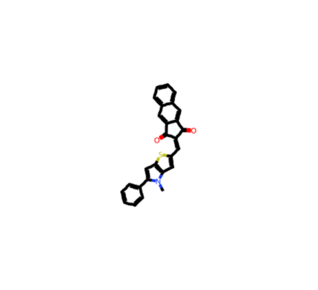 Cn1c(-c2ccccc2)cc2sc(C=C3C(=O)c4cc5ccccc5cc4C3=O)cc21